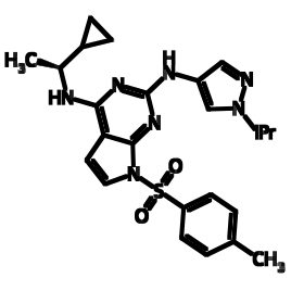 Cc1ccc(S(=O)(=O)n2ccc3c(N[C@@H](C)C4CC4)nc(Nc4cnn(C(C)C)c4)nc32)cc1